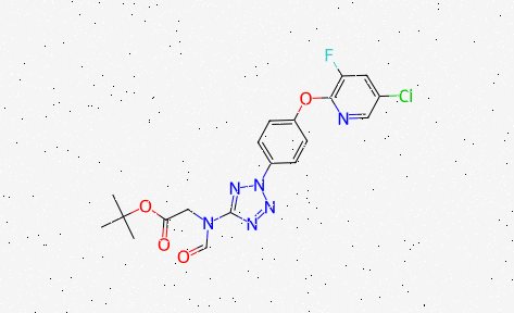 CC(C)(C)OC(=O)CN(C=O)c1nnn(-c2ccc(Oc3ncc(Cl)cc3F)cc2)n1